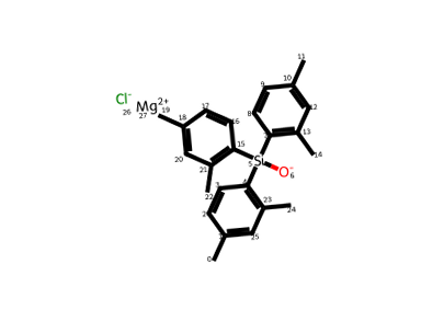 Cc1ccc([Si]([O-])(c2ccc(C)cc2C)c2ccc(C)cc2C)c(C)c1.[Cl-].[Mg+2]